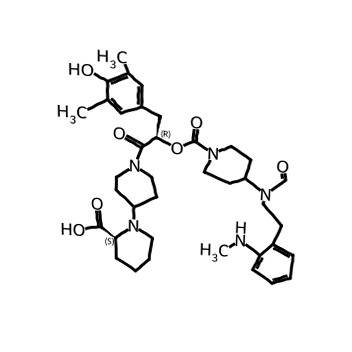 CNc1ccccc1CCN(C=O)C1CCN(C(=O)O[C@H](Cc2cc(C)c(O)c(C)c2)C(=O)N2CCC(N3CCCC[C@H]3C(=O)O)CC2)CC1